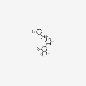 COc1cccc([C@H](C)Nc2cc(-c3cc(OC)c(OC)c(OC)c3)nc(C)n2)c1